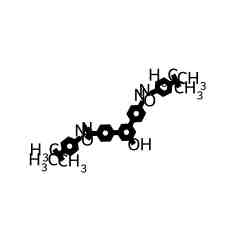 CC(C)(C)c1ccc(-c2nnc(-c3ccc(-c4cc(O)cc(-c5ccc(-c6nnc(C7=CCC(C(C)(C)C)C=C7)o6)cc5)c4)cc3)o2)cc1